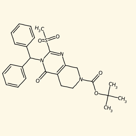 CC(C)(C)OC(=O)N1CCc2c(nc(S(C)(=O)=O)n(C(c3ccccc3)c3ccccc3)c2=O)C1